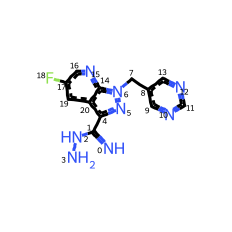 N=C(NN)c1nn(Cc2cncnc2)c2ncc(F)cc12